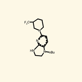 CCCCN1CCNc2nc(N3CCCC(C(F)(F)F)C3)ccc21